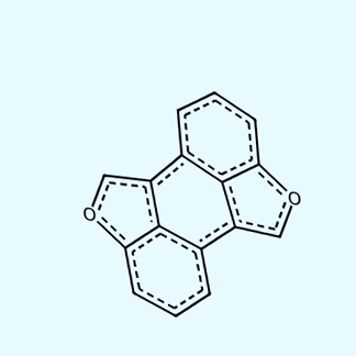 c1cc2occ3c4cccc5occ(c(c1)c23)c54